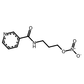 O=C(NCCCO[N+](=O)[O-])c1cccnc1